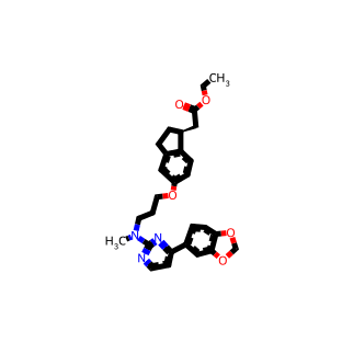 CCOC(=O)C[C@@H]1CCc2cc(OCCCN(C)c3nccc(-c4ccc5c(c4)OCO5)n3)ccc21